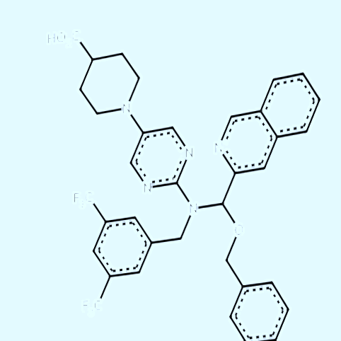 O=C(O)C1CCN(c2cnc(N(Cc3cc(C(F)(F)F)cc(C(F)(F)F)c3)C(OCc3ccccc3)c3cc4ccccc4cn3)nc2)CC1